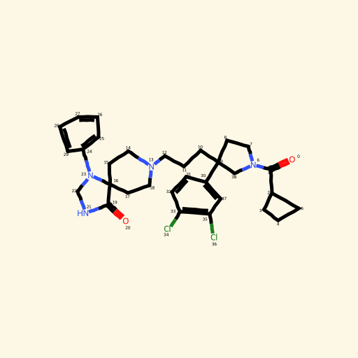 O=C(C1CCC1)N1CCC(CCCN2CCC3(CC2)C(=O)NCN3c2ccccc2)(c2ccc(Cl)c(Cl)c2)C1